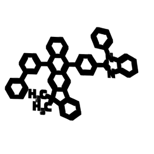 CC1(C)c2ccccc2-c2cc3c(-c4ccc(-c5nc6ccccc6n5-c5ccccc5)cc4)c4ccccc4c(-c4cccc(-c5ccccc5)c4)c3cc21